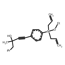 C=CC[Si](CC=C)(OCC)c1ccc(C#CC(C)(O)CC(C)C)cc1